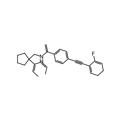 C=C(NCC1(C(/C=C\C)=C/C)CCCC1)c1ccc(C#CC2=CCCC=C2F)cc1